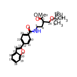 COC(=O)C(CCNC(=O)c1ccc(-c2cc3ccccc3o2)cc1)CO[Si](C)(C)C(C)(C)C